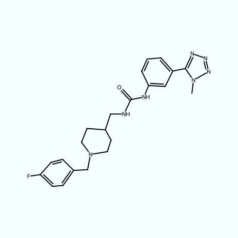 Cn1nnnc1-c1cccc(NC(=O)NCC2CCN(Cc3ccc(F)cc3)CC2)c1